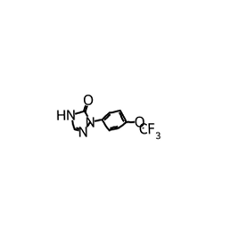 O=c1[nH]cnn1-c1ccc(OC(F)(F)F)cc1